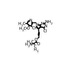 COc1c(C)cnc(Cn2cc(C#CCOC(=O)C(C)(C)N)c3c(Cl)nc(N)nc32)c1C